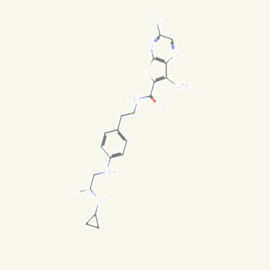 CCc1cnc2c(NC)c(C(=O)NCCc3ccc(NC[C@H](CC)NC4CC4)cc3)sc2n1